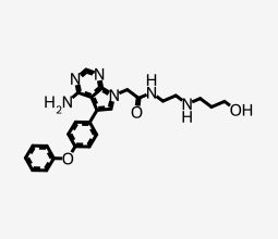 Nc1ncnc2c1c(-c1ccc(Oc3ccccc3)cc1)cn2CC(=O)NCCNCCCO